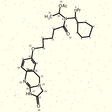 CCCC(C1CCCCC1)N(C(=O)CCCCOc1ccc2c(c1)CN1CC(=O)NC1=N2)C(C)OC(C)=O